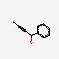 CC#CC(O)c1ccccc1